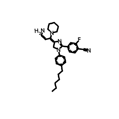 CCCCCCc1ccc(N2C/C(=C(\C=C/N)N3CCCCC3)N=C2c2ccc(C#N)c(F)c2)cc1